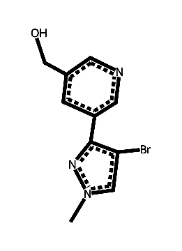 Cn1cc(Br)c(-c2cncc(CO)c2)n1